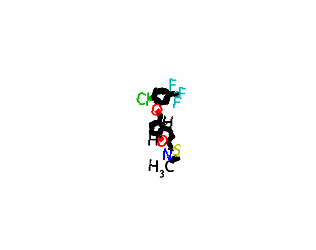 Cc1csc(C2CC[C@@H]3C(COc4cc(C(F)(F)F)ccc4Cl)CC[C@@H]3O2)n1